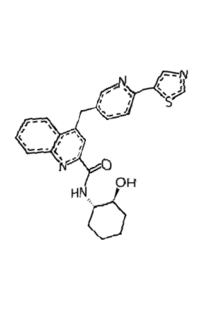 O=C(N[C@H]1CCCC[C@@H]1O)c1cc(Cc2ccc(-c3cncs3)nc2)c2ccccc2n1